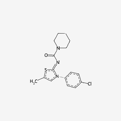 Cc1cn(-c2ccc(Cl)cc2)c(=NC(=O)N2CCCCC2)s1